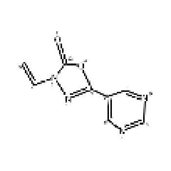 C=Cn1nc(-c2cncnc2)oc1=O